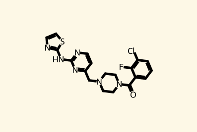 O=C(c1cccc(Cl)c1F)N1CCN(Cc2ccnc(Nc3nccs3)n2)CC1